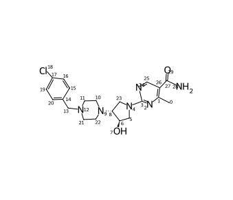 Cc1nc(N2C[C@@H](O)[C@H](N3CCN(Cc4ccc(Cl)cc4)CC3)C2)ncc1C(N)=O